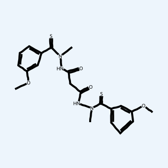 COc1cccc(C(=S)N(C)NC(=O)CC(=O)NN(C)C(=S)c2cccc(OC)c2)c1